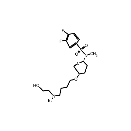 CCN(CCO)CCCCO[C@H]1CC[C@H](N(C)S(=O)(=O)c2ccc(F)c(F)c2)CC1